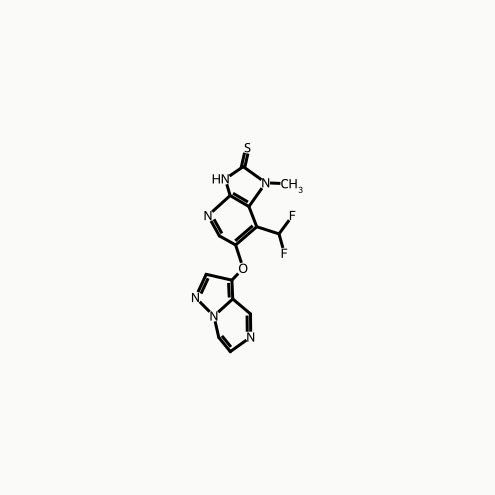 Cn1c(=S)[nH]c2ncc(Oc3cnn4ccncc34)c(C(F)F)c21